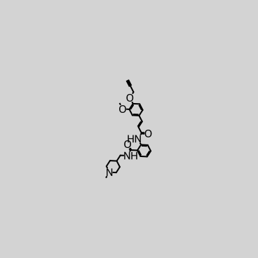 C#CCOc1ccc(/C=C/C(=O)Nc2ccccc2C(=O)NCC2CCN(C)CC2)cc1OC